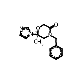 C[C@@]1(n2ccnc2)CN(Cc2ccccc2)C(=O)CO1